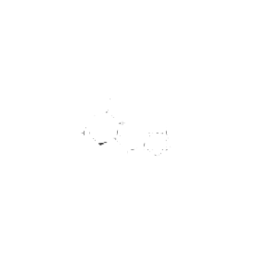 CC(C)N[C@H](CO)Cc1ccco1